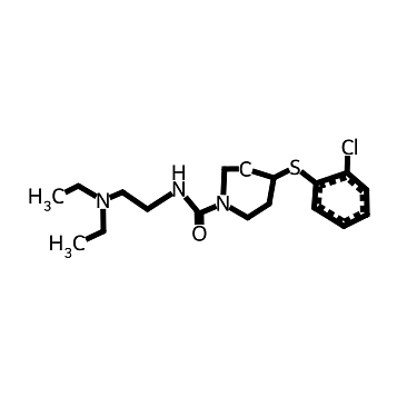 CCN(CC)CCNC(=O)N1CCC(Sc2ccccc2Cl)CC1